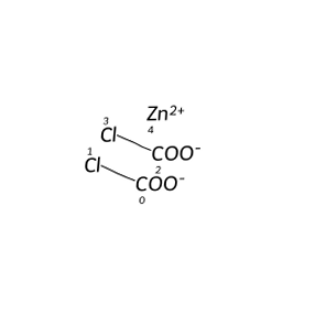 O=C([O-])Cl.O=C([O-])Cl.[Zn+2]